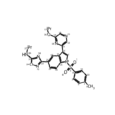 Cc1ccc(S(=O)(=O)n2cc(-c3cncc(OC(C)C)n3)c3cc(-c4noc(NC(C)C)n4)ccc32)cc1